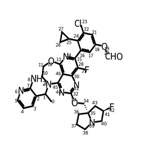 CC(c1cccnc1N)N1CCOc2nc(-c3cc(OC=O)cc(Cl)c3C3CC3)c(F)c3nc(OC[C@@]45CCCN4C[C@H](F)C5)nc1c23